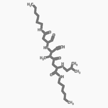 C#CC(NC(C=O)CC(=O)NCCCCCC)C(C)C(=O)CC(NCC(C)C)C(=O)NCCCCCC